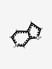 [c]1cc2ccncc2o1